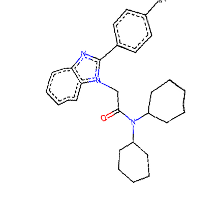 CC(C)c1ccc(-c2nc3ccccc3n2CC(=O)N(C2CCCCC2)C2CCCCC2)cc1